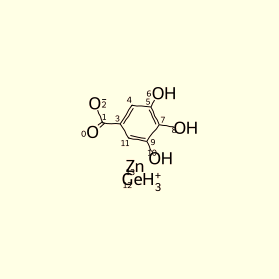 O=C([O-])c1cc(O)c(O)c(O)c1.[GeH3+].[Zn]